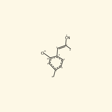 C/C(C#N)=C\c1ccc(C)cc1Cl